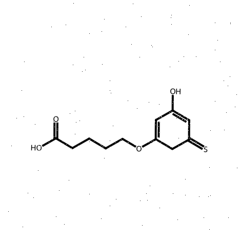 O=C(O)CCCCOC1=CC(O)=CC(=S)C1